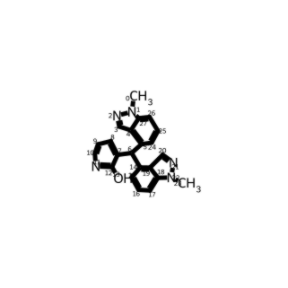 Cn1ncc2c(C(c3cccnc3O)c3cccc4c3cnn4C)cccc21